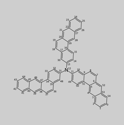 c1ccc2cc3c(ccc4cc(N(c5ccc6c(ccc7cc8ccccc8cc76)c5)c5ccc6c(ccc7cc8ccccc8cc76)c5)ccc43)cc2c1